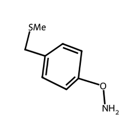 CSCc1ccc(ON)cc1